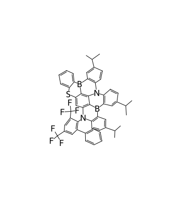 CC(C)c1ccc2c(c1)B1c3cc(C(C)C)ccc3N3c4ccc(C(C)C)cc4B4c5ccccc5Sc5cc(c1c3c54)N2c1c(-c2ccccc2)cc(C(F)(F)F)cc1C(F)(F)F